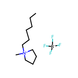 CCCCCC[N+]1(C)CCCC1.F[B-](F)(F)F